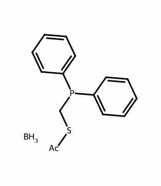 B.CC(=O)SCP(c1ccccc1)c1ccccc1